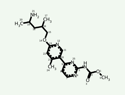 COC(=O)Nc1nccc(-c2cnc(OCC(C)CC(C)N)cc2C)n1